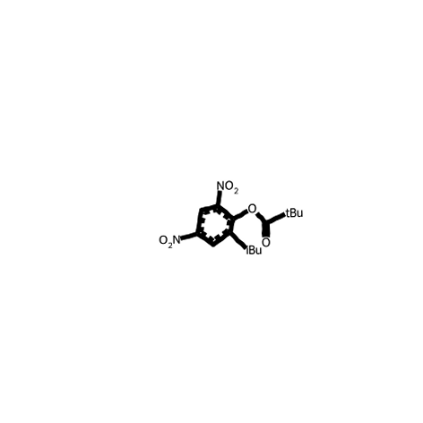 CCC(C)c1cc([N+](=O)[O-])cc([N+](=O)[O-])c1OC(=O)C(C)(C)C